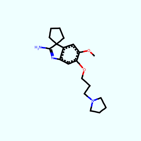 COc1cc2c(cc1OCCCN1CCCC1)N=C(N)C21CCCC1